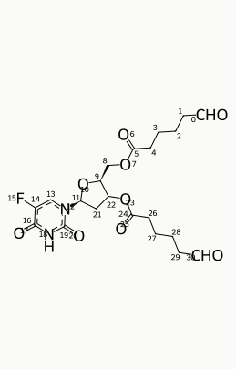 O=CCCCCC(=O)OC[C@@H]1O[C@H](n2cc(F)c(=O)[nH]c2=O)CC1OC(=O)CCCCC=O